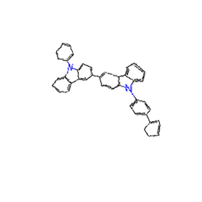 C1=CCCC(c2ccc(N3c4ccccc4C4C=C(c5ccc6c(c5)c5ccccc5n6C5=CC=CCC5)C=CC43)cc2)=C1